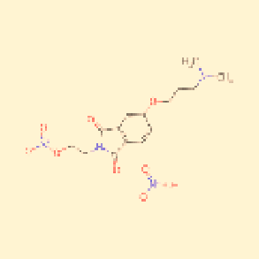 CN(C)CCCOc1ccc2c(c1)C(=O)N(CCO[N+](=O)[O-])C2=O.O=[N+]([O-])O